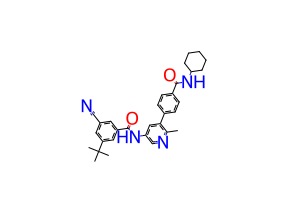 Cc1ncc(NC(=O)c2cc(C#N)cc(C(C)(C)C)c2)cc1-c1ccc(C(=O)NC2CCCCC2)cc1